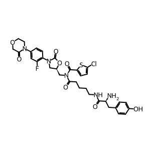 N[C@@H](Cc1ccc(O)cc1)C(=O)NCCCCC(=O)N(C[C@H]1CN(c2ccc(N3CCOCC3=O)cc2F)C(=O)O1)C(=O)c1ccc(Cl)s1